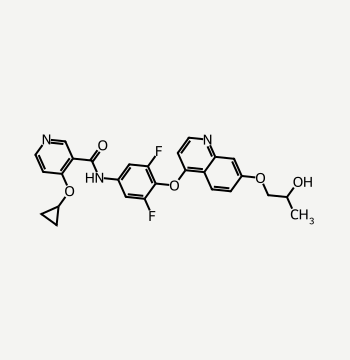 CC(O)COc1ccc2c(Oc3c(F)cc(NC(=O)c4cnccc4OC4CC4)cc3F)ccnc2c1